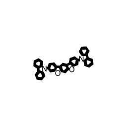 c1ccc2c(c1)c1ccccc1n2-c1ccc2c(c1)oc1cc3oc4cc(-n5c6ccccc6c6ccccc65)ccc4c3cc12